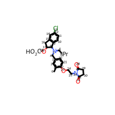 Cc1cc(CN(CC(C)C)C2c3ccc(Cl)cc3CC2OC(=O)O)ccc1OCCN1C(=O)CCC1=O